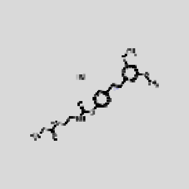 COc1cc(/C=C/c2ccc(OC(=O)NCCNC(=O)CN)cc2)cc(OC)c1.Cl